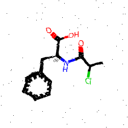 CC(Cl)C(=O)N[C@@H](Cc1ccccc1)C(=O)O